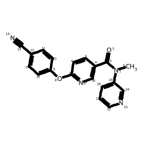 CN(C(=O)c1ccc(Oc2ccc(C#N)cc2)nc1)c1cccnc1